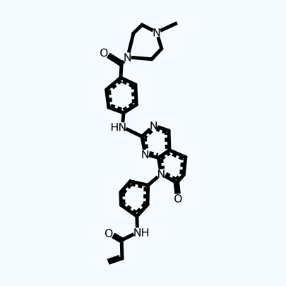 C=CC(=O)Nc1cccc(-n2c(=O)ccc3cnc(Nc4ccc(C(=O)N5CCN(C)CC5)cc4)nc32)c1